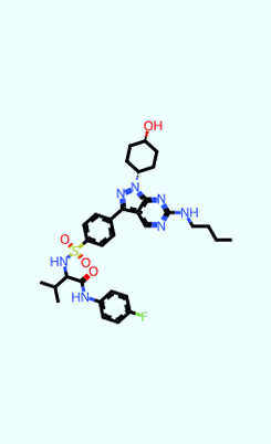 CCCCNc1ncc2c(-c3ccc(S(=O)(=O)NC(C(=O)Nc4ccc(F)cc4)C(C)C)cc3)nn([C@H]3CC[C@H](O)CC3)c2n1